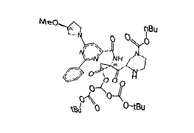 CCCCOC(=O)N1CCNC(C(=O)[C@]2(NC(=O)c3cc(N4CC[C@H](OC)C4)nc(-c4ccccc4)n3)CP2(=O)OC(OC(=O)OC(C)(C)C)OC(=O)OC(C)(C)C)C1